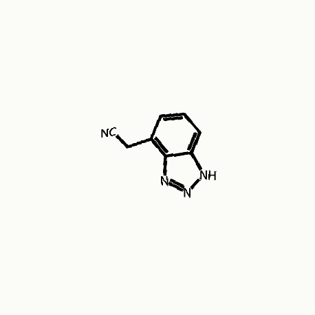 N#CCc1cccc2[nH]nnc12